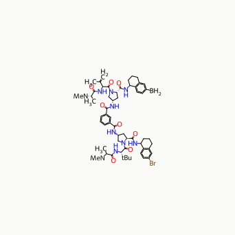 Bc1ccc2c(c1)CCCC2NC(=O)[C@@H]1C[C@H](NC(=O)c2cccc(C(=O)N[C@H]3C[C@@H](C(=O)NC4CCCc5cc(Br)ccc54)N(C(=O)[C@@H](NC(=O)[C@H](C)NC)C(C)(C)C)C3)c2)CN1C(=O)[C@@H](NC(=O)[C@H](C)NC)C(=C)C